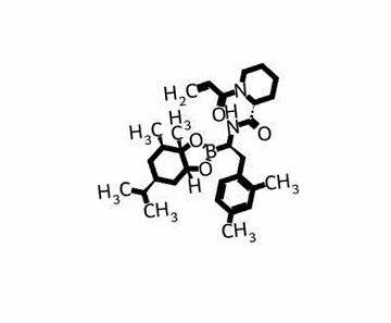 C=CC(=O)N1CCCC[C@@H]1C(=O)N[C@@H](Cc1ccc(C)cc1C)B1O[C@@H]2C[C@@H](C(C)C)C[C@@H](C)[C@]2(C)O1